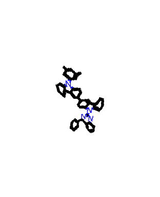 Cc1cc(C)cc(-n2c3ccccc3c3cc(-c4ccc5c(c4)c4ccccc4n5-c4nc(-c5ccccc5)c5ccccc5n4)ccc32)c1